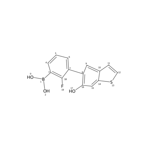 OB(O)c1cccc(-c2cc3ccsc3cc2O)c1F